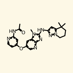 CC(=O)Nc1cc(Oc2cnc3nc(Nc4cc5n(n4)CCCC5(C)C)n(C)c3c2)ccn1